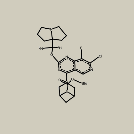 [2H]C([2H])(Oc1nc(N2CC3CC(C2)N3C(=O)OC(C)(C)C)c2cnc(Cl)c(F)c2n1)C12CCCN1CCC2